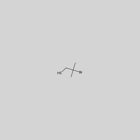 [CH2]C(C)(Br)CS